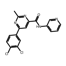 Cc1nc(C(=O)Nc2cccnc2)cc(-c2ccc(Cl)c(Cl)c2)n1